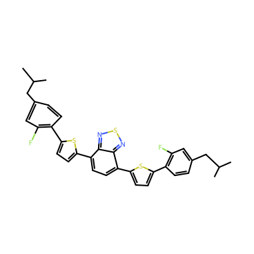 CC(C)Cc1ccc(-c2ccc(-c3ccc(-c4ccc(-c5ccc(CC(C)C)cc5F)s4)c4nsnc34)s2)c(F)c1